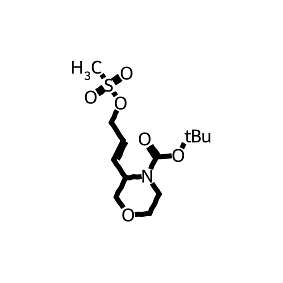 CC(C)(C)OC(=O)N1CCOCC1/C=C/COS(C)(=O)=O